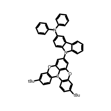 CC(C)(C)c1ccc2c(c1)Oc1cc(-n3c4ccccc4c4cc(N(c5ccccc5)c5ccccc5)ccc43)cc3c1B2c1ccc(C(C)(C)C)cc1O3